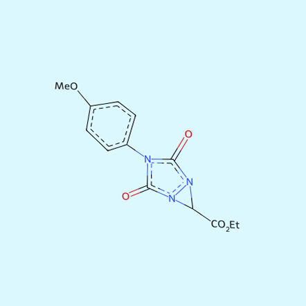 CCOC(=O)C1n2c(=O)n(-c3ccc(OC)cc3)c(=O)n21